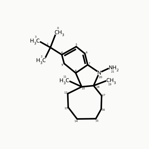 CC(C)(C)C1=CC=C2C(C1)C1(C)CCCCCCC1(C)N2N